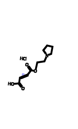 Cl.O=C(O)/C=C/C(=O)OCCN1CCCC1